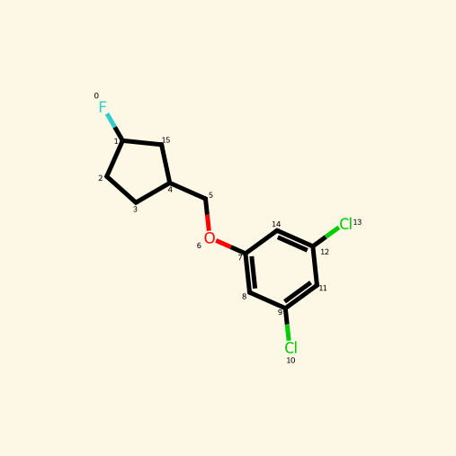 FC1CCC(COc2cc(Cl)cc(Cl)c2)C1